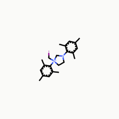 Cc1cc(C)c(N2CC[N+](CI)(c3c(C)cc(C)cc3C)C2)c(C)c1